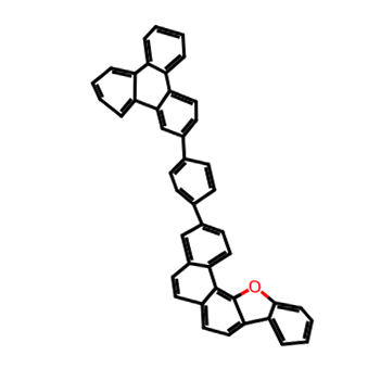 c1ccc2c(c1)oc1c2ccc2ccc3cc(-c4ccc(-c5ccc6c7ccccc7c7ccccc7c6c5)cc4)ccc3c21